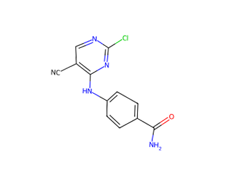 N#Cc1cnc(Cl)nc1Nc1ccc(C(N)=O)cc1